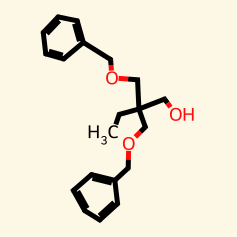 CCC(CO)(COCc1ccccc1)COCc1ccccc1